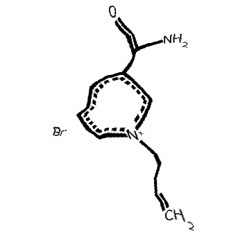 C=CC[n+]1cccc(C(N)=O)c1.[Br-]